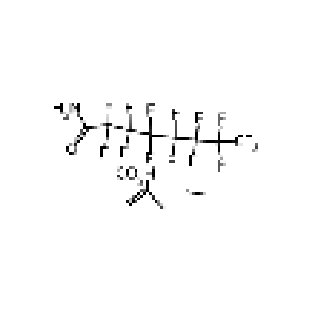 C=C(C)C(=O)O.CC.NC(=O)C(F)(F)C(F)(F)C(F)(F)C(F)(F)C(F)(F)C(F)(F)C(F)(F)F